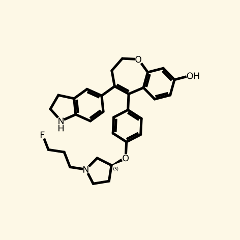 Oc1ccc2c(c1)OCCC(c1ccc3c(c1)CCN3)=C2c1ccc(O[C@H]2CCN(CCCF)C2)cc1